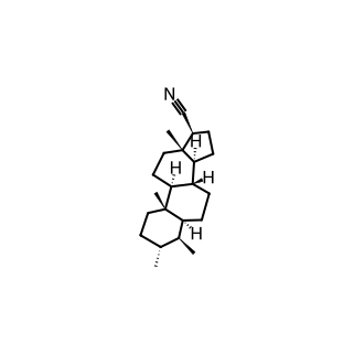 C[C@H]1[C@H](C)CC[C@@]2(C)[C@H]1CC[C@@H]1[C@@H]2CC[C@]2(C)[C@@H](C#N)CC[C@@H]12